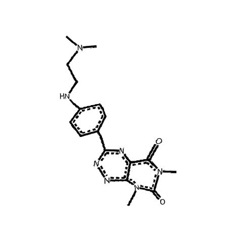 CN(C)CCNc1ccc(-c2nnc3c(n2)c(=O)n(C)c(=O)n3C)cc1